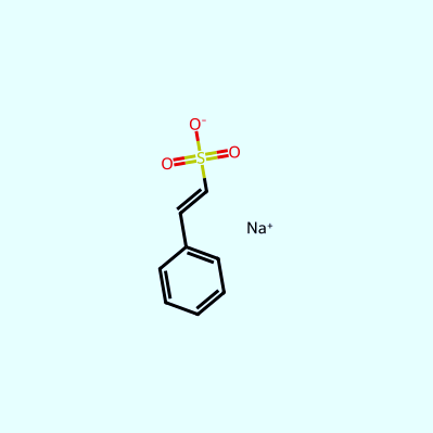 O=S(=O)([O-])/C=C/c1ccccc1.[Na+]